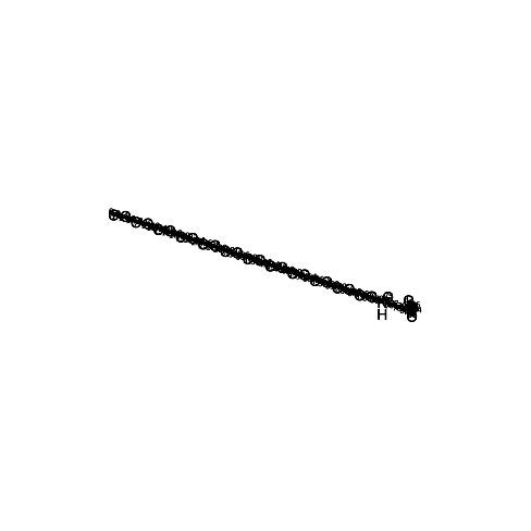 COCCOCCOCCOCCOCCOCCOCCOCCOCCOCCOCCOCCOCCOCCOCCOCCOCCOCCOCCOCCOCCOCCOCCOCCNC(=O)CCCCCN1C(=O)C=CC1=O